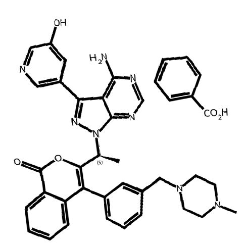 C[C@@H](c1oc(=O)c2ccccc2c1-c1cccc(CN2CCN(C)CC2)c1)n1nc(-c2cncc(O)c2)c2c(N)ncnc21.O=C(O)c1ccccc1